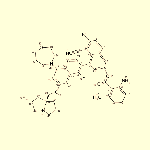 C#Cc1c(F)ccc2cc(OC(=O)c3c(C)cccc3N)cc(-c3ncc4c(N5CCCOCC5)nc(OC[C@@]56CCCN5C[C@H](F)C6)nc4c3F)c12